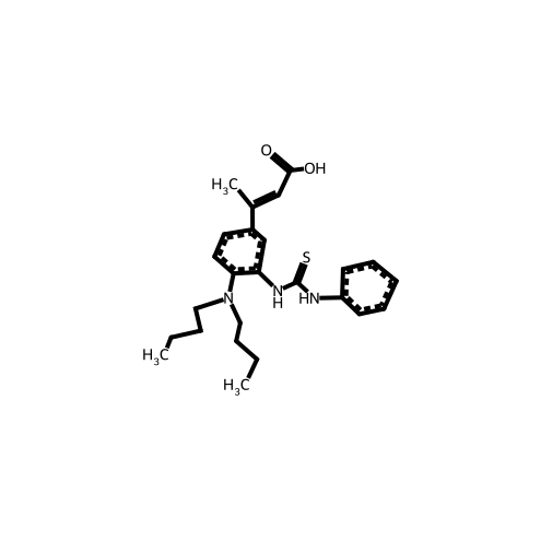 CCCCN(CCCC)c1ccc(/C(C)=C/C(=O)O)cc1NC(=S)Nc1ccccc1